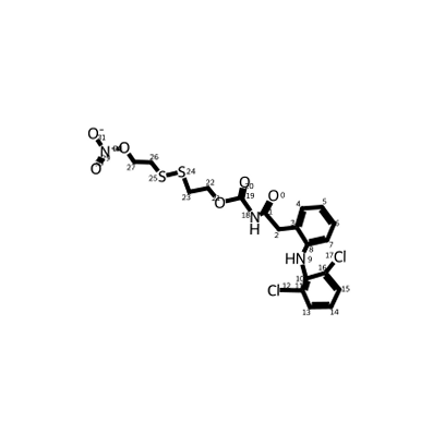 O=C(Cc1ccccc1Nc1c(Cl)cccc1Cl)NC(=O)OCCSSCCO[N+](=O)[O-]